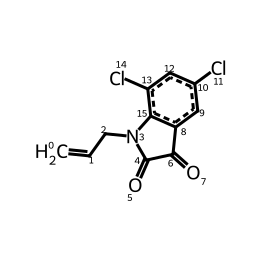 C=CCN1C(=O)C(=O)c2cc(Cl)cc(Cl)c21